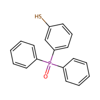 O=P(c1ccccc1)(c1ccccc1)c1cccc(S)c1